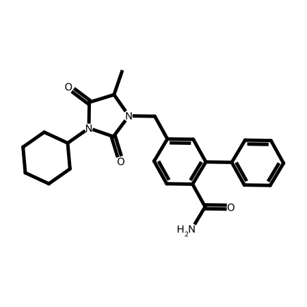 CC1C(=O)N(C2CCCCC2)C(=O)N1Cc1ccc(C(N)=O)c(-c2ccccc2)c1